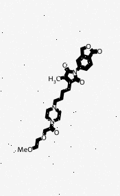 COCCOCC(=O)N1CCN(CCCCC2=C(C)C(=O)N(c3ccc4c(c3)COC4=O)C2=O)CC1